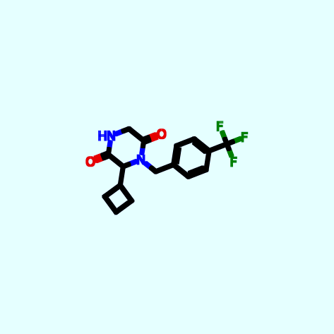 O=C1NCC(=O)N(Cc2ccc(C(F)(F)F)cc2)C1C1CCC1